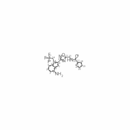 Nc1cccc2c1cc(-c1noc(CNC(=O)c3cccs3)n1)n2CC(F)(F)F